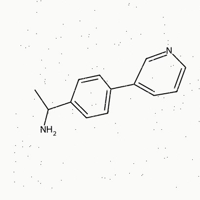 CC(N)c1ccc(-c2cccnc2)cc1